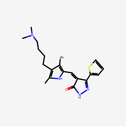 Cc1[nH]c(C=C2C(=O)NN=C2c2cccs2)c(C(C)C)c1CCCCN(C)C